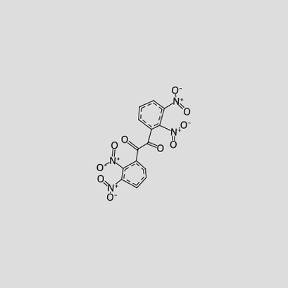 O=C(C(=O)c1cccc([N+](=O)[O-])c1[N+](=O)[O-])c1cccc([N+](=O)[O-])c1[N+](=O)[O-]